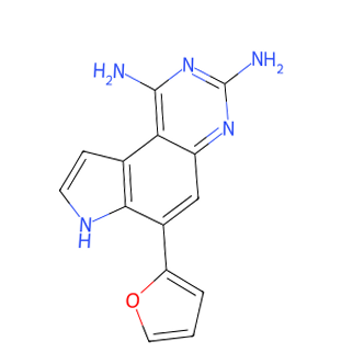 Nc1nc(N)c2c(cc(-c3ccco3)c3[nH]ccc32)n1